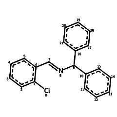 Clc1ccccc1C=NC(c1ccccc1)c1ccccc1